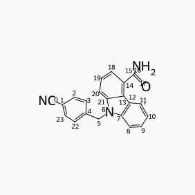 N#Cc1ccc(Cn2c3ccc[c]c3c3c(C(N)=O)cccc32)cc1